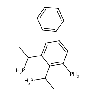 CC(P)c1cccc(P)c1C(C)P.c1ccccc1